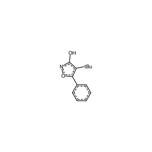 CC(C)(C)c1c(O)noc1-c1ccccc1